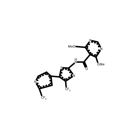 COc1ncnc(OC)c1C(=O)Nc1nc(C(F)(F)F)c(-c2ccnc(C(F)(F)F)c2)s1